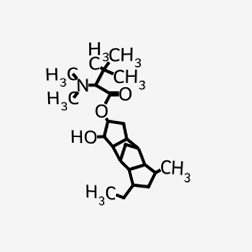 CCC1CC(C)C2C3CC(C4C(O)C(OC(=O)C(N(C)C)C(C)(C)C)CC34)C12